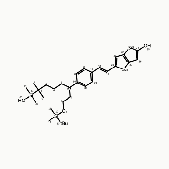 CC(C)(CCCN(CCO[Si](C)(C)C(C)(C)C)c1ccc(/C=C/c2cc3sc(O)cc3s2)cc1)[Si](C)(C)O